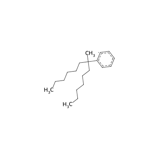 CCCCCCC(C)(CCCCCC)c1[c]cccc1